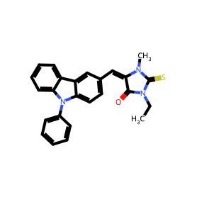 CCN1C(=O)/C(=C\c2ccc3c(c2)c2ccccc2n3-c2ccccc2)N(C)C1=S